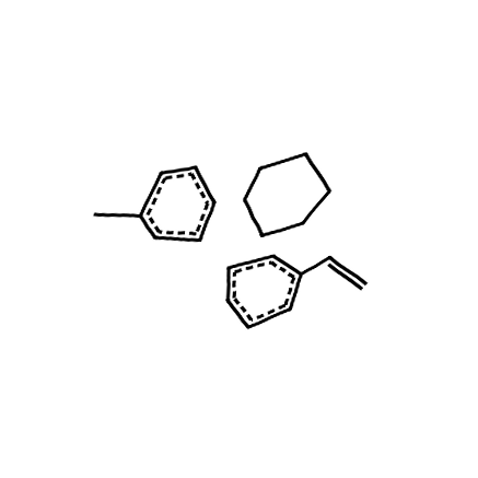 C1CCCCC1.C=Cc1ccccc1.Cc1ccccc1